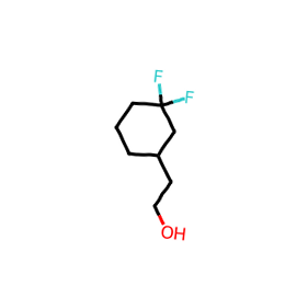 OCCC1CCCC(F)(F)C1